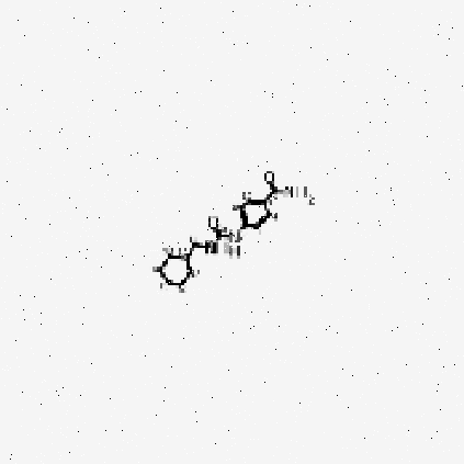 NC(=O)c1ccc(NC(=O)NCC2CCCCC2)cc1